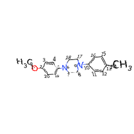 COc1ccc(N2CCN(c3ccc(C)cc3)CC2)cc1